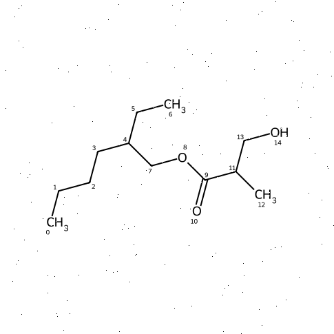 CCCCC(CC)COC(=O)C(C)CO